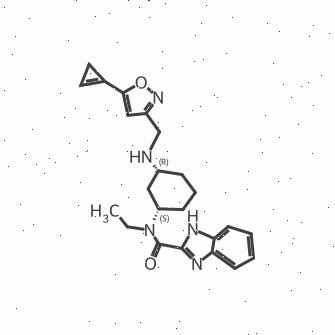 CCN(C(=O)c1nc2ccccc2[nH]1)[C@H]1CCC[C@@H](NCc2cc(C3=CC3)on2)C1